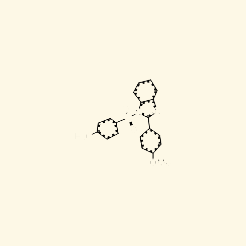 COc1ccc(-c2nc3ccccc3n2S(=O)(=O)c2ccc(C)cc2)cc1